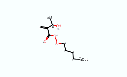 C=C(C(=O)OOCCCCCCCCCCCC)C(O)CC